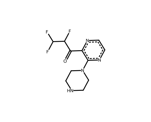 O=C(c1nccnc1N1CCNCC1)C(F)C(F)F